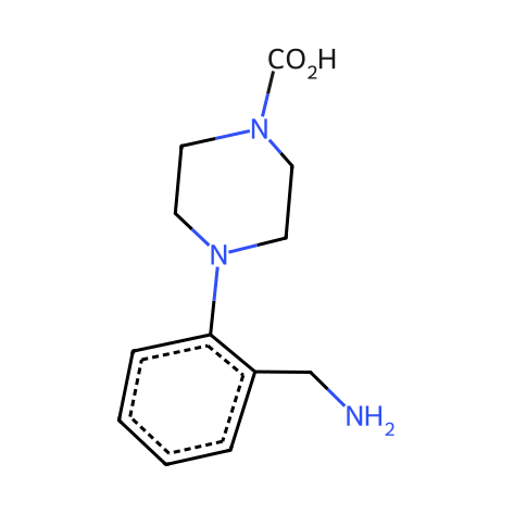 NCc1ccccc1N1CCN(C(=O)O)CC1